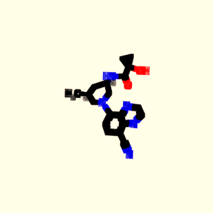 C[C@H]1C[C@@H](NC(=O)C2(O)CC2)CN(c2ccc(C#N)c3nccnc23)C1